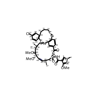 COc1nn(C)cc1C(=O)NS1(=O)=NC(=O)c2ccc3c(c2)N(Cc2ccc(Cl)cc2CCCCO3)C[C@H](C)[C@@H](C)[C@H](OC)[C@@H](OC)/C=C\[C@H](C)C1